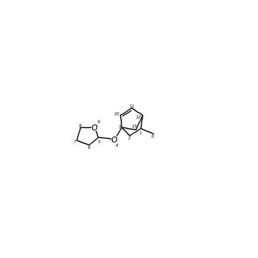 CC1CC2(OC3CCCO3)C=CC1C2